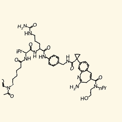 CCCN(CCO)C(=O)C1=Cc2ccc(C3(C(=O)NCc4ccc(NC(=O)C(CCCNC(N)=O)NC(=O)C(NC(=O)CCCCCN5C(=O)C=CC5=O)C(C)C)cc4)CC3)cc2N=C(N)C1